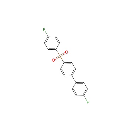 O=S(=O)(c1ccc(F)cc1)c1ccc(-c2ccc(F)cc2)cc1